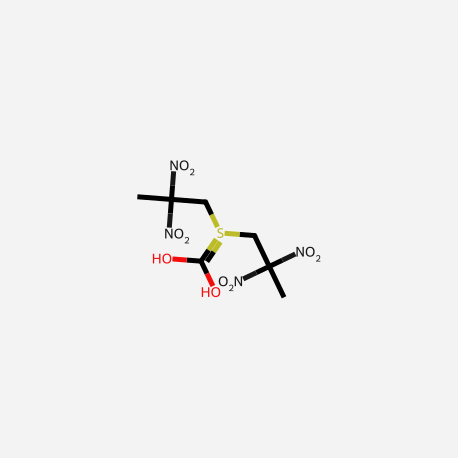 CC(CS(CC(C)([N+](=O)[O-])[N+](=O)[O-])=C(O)O)([N+](=O)[O-])[N+](=O)[O-]